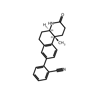 C[C@]12CCC(=O)N[C@@H]1CCc1cc(-c3ccccc3C#N)ccc12